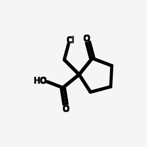 O=C(O)C1(CCl)CCCC1=O